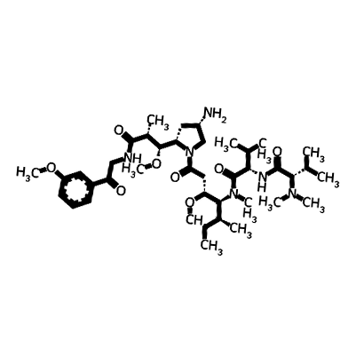 CC[C@H](C)[C@@H]([C@@H](CC(=O)N1C[C@@H](N)C[C@H]1[C@H](OC)[C@@H](C)C(=O)NCC(=O)c1cccc(OC)c1)OC)N(C)C(=O)[C@@H](NC(=O)[C@H](C(C)C)N(C)C)C(C)C